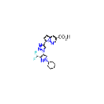 O=C(O)c1cnn2c(-c3cn(-c4cn(C5CCCCC5)nc4C(F)F)nn3)ccc2c1